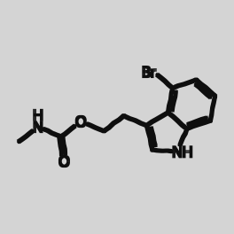 CNC(=O)OCCc1c[nH]c2cccc(Br)c12